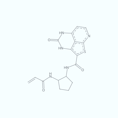 C=CC(=O)NC1CCCC1NC(=O)c1sc2nccc3c2c1NC(=O)N3